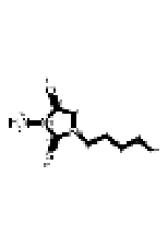 CCCCCN1CC(=O)N(N)C1=S